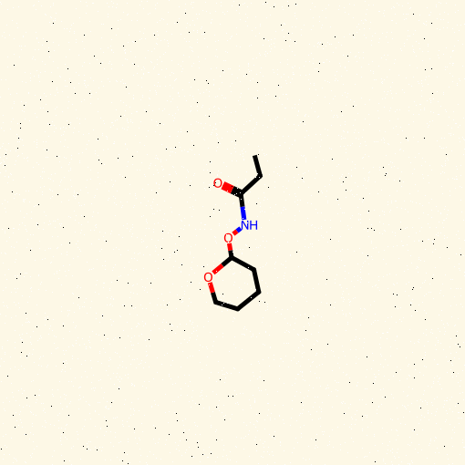 CCC(=O)NOC1CCCCO1